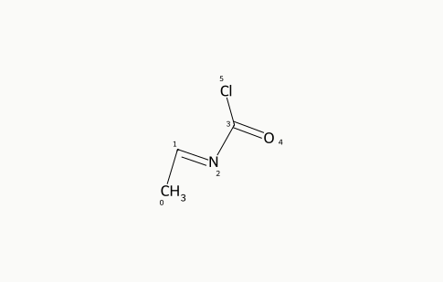 C/C=N/C(=O)Cl